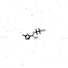 Cc1ncc(B(O)OC(C)(C)C(C)(C)O)s1